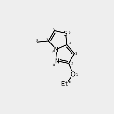 CCOc1cc2scc(C)n2n1